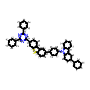 c1ccc(-c2ccc3c(c2)c2ccccc2n3-c2ccc(-c3ccc4sc5cc(-c6nc(-c7ccccc7)nc(-c7ccccc7)n6)ccc5c4c3)cc2)cc1